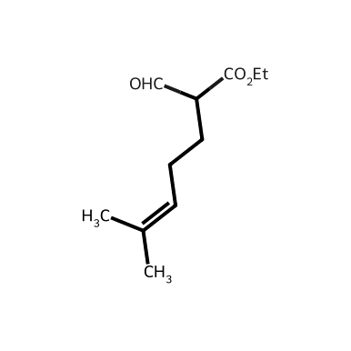 CCOC(=O)C(C=O)CCC=C(C)C